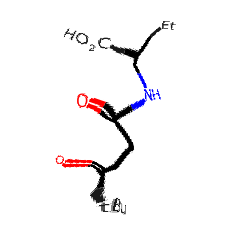 CCC(NC(=O)CC(=O)C(C)(C)C)C(=O)O